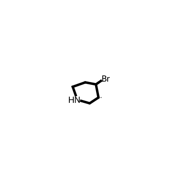 BrC1[CH]CNCC1